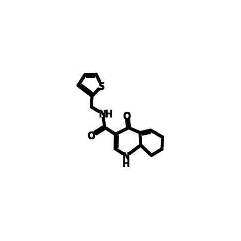 O=C(NCc1cccs1)C1=CNC2CCCC=C2C1=O